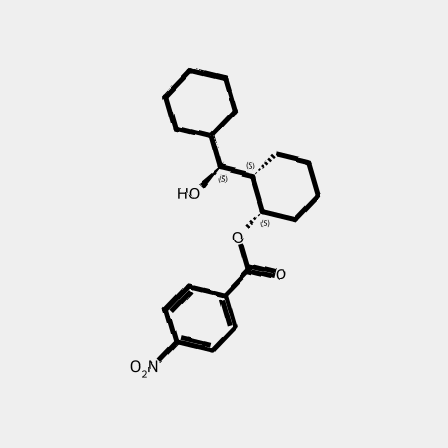 O=C(O[C@H]1CCCC[C@H]1[C@@H](O)C1CCCCC1)c1ccc([N+](=O)[O-])cc1